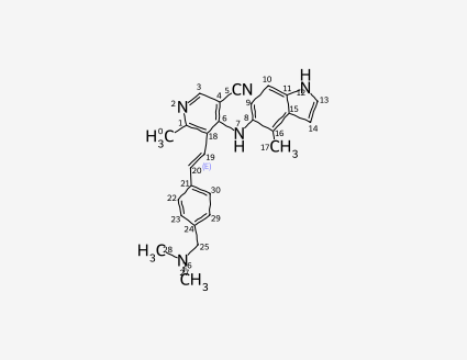 Cc1ncc(C#N)c(Nc2ccc3[nH]ccc3c2C)c1/C=C/c1ccc(CN(C)C)cc1